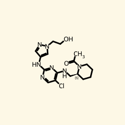 CC(=O)N1CCCC[C@H]1CNc1nc(Nc2cnn(CCO)c2)ncc1Cl